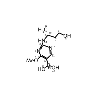 COc1nc(N[C@H](C)CCO)ncc1B(O)O